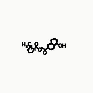 CN1CCC[C@H]1C(=O)OCC(=O)c1ccc2c(O)cccc2c1